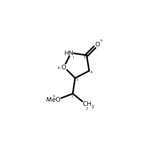 COC(C)C1CC(=O)NO1